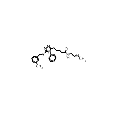 COCCNC(=O)CCCCc1nnc(SCc2cccc(C)c2)n1-c1ccccc1